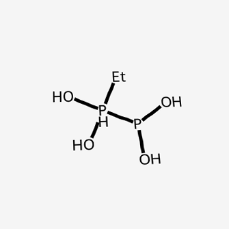 CC[PH](O)(O)P(O)O